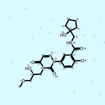 COC[C@@H](O)Cn1c(=O)cnn(-c2ccc(Cl)c(C(=O)NCC3(O)CCCC3)c2)c1=O